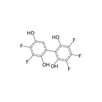 Oc1cc(-c2c(O)c(F)c(F)c(F)c2O)c(O)c(F)c1F